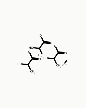 CC(O)C(=O)[O-].CC(O)C(=O)[O-].CC(O)C(=O)[O-].[C+3]F